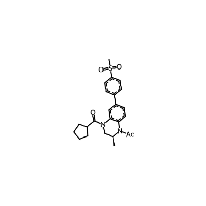 CC(=O)N1c2ccc(-c3ccc(S(C)(=O)=O)cc3)cc2N(C(=O)C2CCCC2)C[C@@H]1C